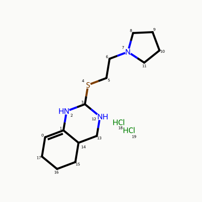 C1=C2NC(SCCN3CCCC3)NCC2CCC1.Cl.Cl